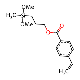 C=Cc1ccc(C(=O)OCCC[Si](C)(OC)OC)cc1